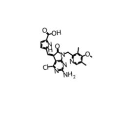 COc1c(C)cnc(CN2C(=O)/C(=C\c3ccc(C(=O)O)[nH]3)c3c(Cl)nc(N)nc32)c1C